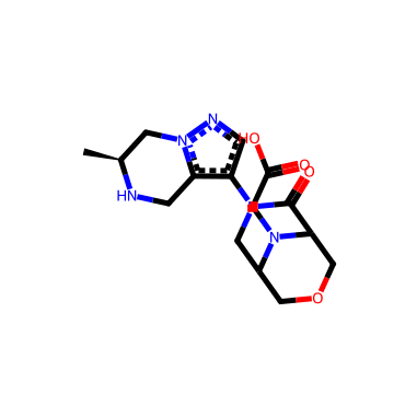 C[C@H]1Cn2ncc(N3CC4COCC(C3=O)N4CC(=O)O)c2CN1